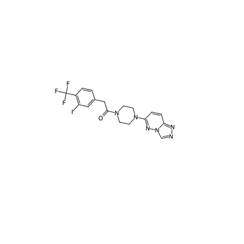 O=C(Cc1ccc(C(F)(F)F)c(I)c1)N1CCN(c2ccc3nncn3n2)CC1